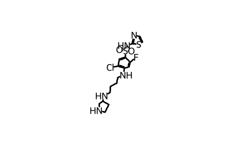 O=S(=O)(Nc1nccs1)c1cc(Cl)c(NCCCCNC2CCNC2)cc1F